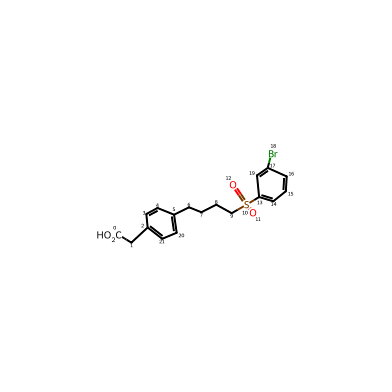 O=C(O)Cc1ccc(CCCCS(=O)(=O)c2cccc(Br)c2)cc1